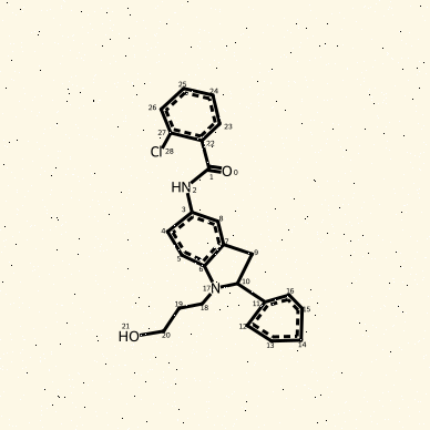 O=C(Nc1ccc2c(c1)CC(c1ccccc1)N2CCCO)c1ccccc1Cl